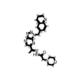 CC(=NNC(=O)CN1CCOCC1)c1cnc2nnn(Cc3ccc4ncccc4c3)c2n1